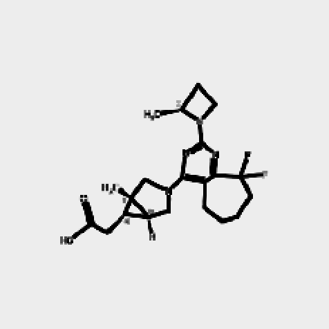 C[C@H]1CCN1c1nc(N2C[C@@H]3[C@@H](CC(=O)O)[C@]3(C)C2)c2c(n1)C(F)(F)CCCC2